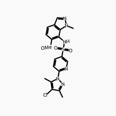 COc1ccc2cnn(C)c2c1NS(=O)(=O)c1ccc(-n2nc(C)c(Cl)c2C)nc1